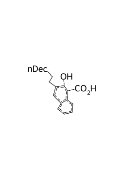 CCCCCCCCCCCCc1cc2ccccc2c(C(=O)O)c1O